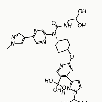 Cn1cc(-c2cnc(N(C(=O)NCC(O)O)[C@H]3CC[C@H](Oc4ncc(C(O)(O)O)c(-c5ccn(C(O)O)n5)n4)CC3)cn2)cn1